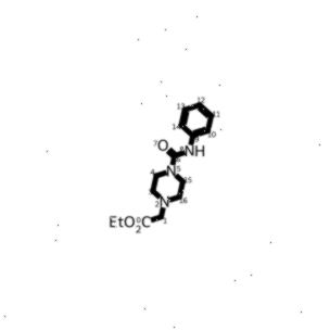 CCOC(=O)CN1CCN(C(=O)Nc2ccccc2)CC1